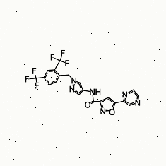 O=C(Nc1cnn(Cc2ccc(C(F)(F)F)cc2C(F)(F)F)c1)c1cc(-c2cnccn2)on1